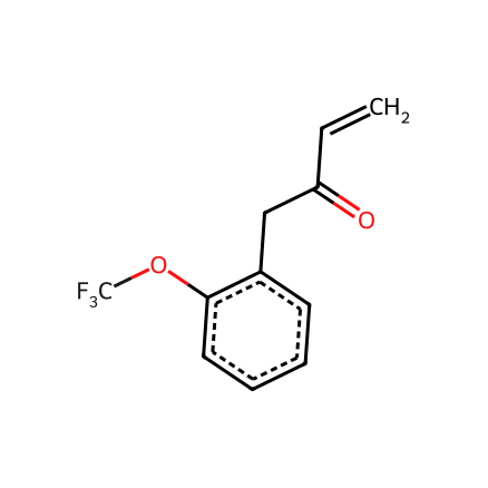 C=CC(=O)Cc1ccccc1OC(F)(F)F